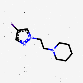 Ic1cnn(CCN2CCCCC2)c1